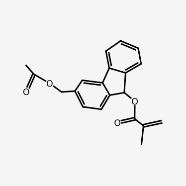 C=C(C)C(=O)OC1c2ccccc2-c2cc(COC(C)=O)ccc21